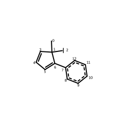 CC1(I)C=CC=C1c1ccccc1